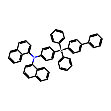 c1ccc(-c2ccc([Si](c3ccccc3)(c3ccccc3)c3ccc(N(c4cccc5ccccc45)c4cccc5ccccc45)cc3)cc2)cc1